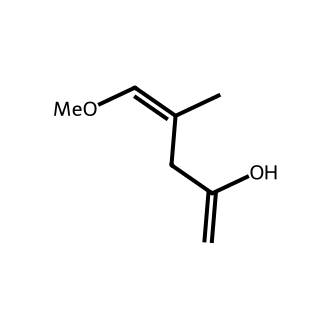 C=C(O)CC(C)=COC